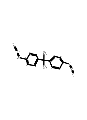 O=C=Nc1ccc(C(c2ccc(N=C=O)cc2)(C(F)(F)F)C(F)(F)F)cc1